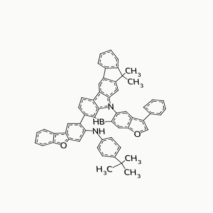 CC(C)(C)c1ccc(Nc2cc3oc4ccccc4c3cc2-c2ccc3c4cc5c(cc4n4c3c2Bc2cc3occ(-c6ccccc6)c3cc2-4)C(C)(C)c2ccccc2-5)cc1